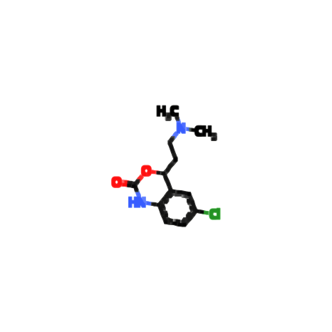 CN(C)CCC1OC(=O)Nc2ccc(Cl)cc21